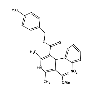 COC(=O)C1=C(C)NC(C)=C(C(=O)OCc2ccc(C(C)(C)C)cc2)C1c1ccccc1[N+](=O)[O-]